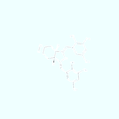 CC(=O)[O-].CC(C)(C)c1cc(C=[N+]2[Co][N+](=Cc3cc(C(C)(C)C)cc(C(C)(C)C)c3O)[C@@H]3CCCC[C@H]32)c(O)c(C(C)(C)C)c1